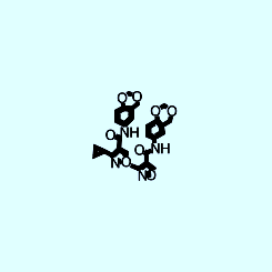 Cc1nocc1C(=O)Nc1ccc2c(c1)COCO2.O=C(Nc1ccc2c(c1)COCO2)c1conc1C1CC1